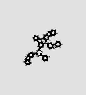 c1ccc(-c2nc(-c3cc4c5c(c3)N(c3ccc6sc7ccccc7c6c3)c3cc6c(cc3B5c3ccccc3-4)sc3ccccc36)nc(-c3ccc4sc5ccccc5c4c3)n2)cc1